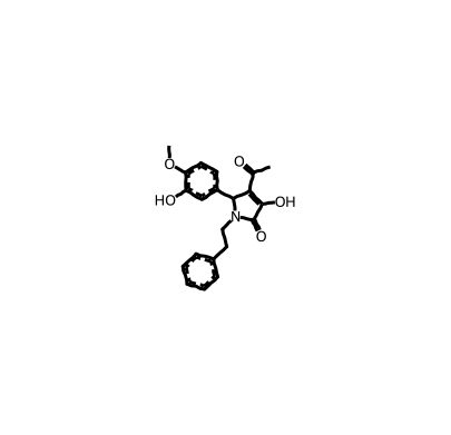 COc1ccc(C2C(C(C)=O)=C(O)C(=O)N2CCc2ccccc2)cc1O